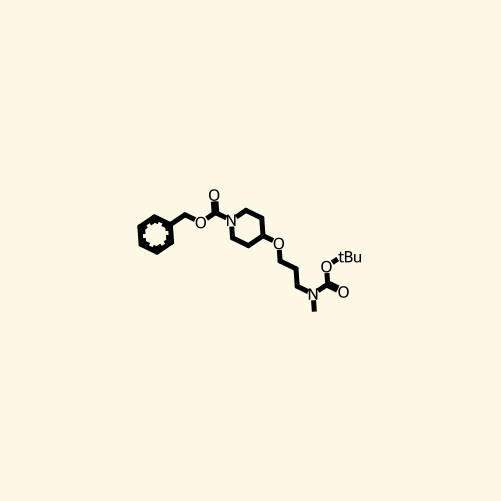 CN(CCCOC1CCN(C(=O)OCc2ccccc2)CC1)C(=O)OC(C)(C)C